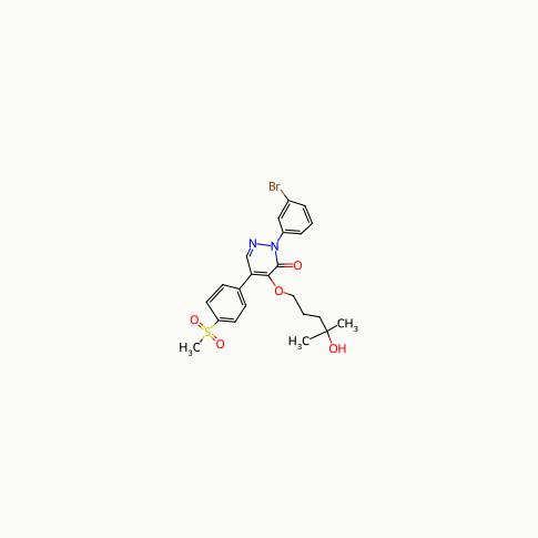 CC(C)(O)CCCOc1c(-c2ccc(S(C)(=O)=O)cc2)cnn(-c2cccc(Br)c2)c1=O